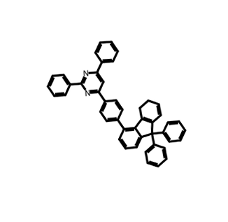 C1=CC2=C(CC1)c1c(-c3ccc(-c4cc(-c5ccccc5)nc(-c5ccccc5)n4)cc3)cccc1C2(c1ccccc1)c1ccccc1